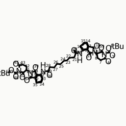 CC(C)(C)OC(=O)N1C(=O)CCC(N2C(=O)c3cccc(NC(=O)CCCCCCCCC(=O)Nc4cccc5c4C(=O)N(C4CCC(=O)N(C(=O)OC(C)(C)C)C4=O)C5=O)c3C2=O)C1=O